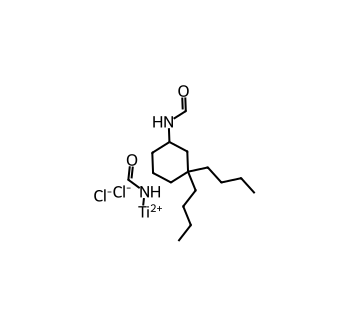 CCCCC1(CCCC)CCCC(NC=O)C1.O=C[NH][Ti+2].[Cl-].[Cl-]